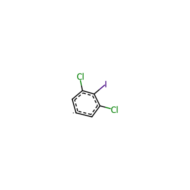 Clc1c[c]cc(Cl)c1I